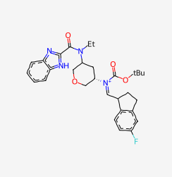 CCN(C(=O)c1nc2ccccc2[nH]1)C1COC[C@@H](/[N+](=C/C2CCc3cc(F)ccc32)C(=O)OC(C)(C)C)C1